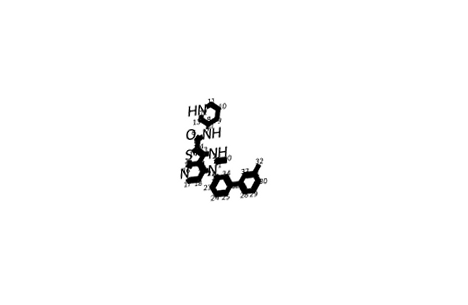 C=c1[nH]c2c(C(=O)N[C@@H]3CCCNC3)sc3nccc(c32)n1-c1cccc(-c2cccc(C)c2)c1